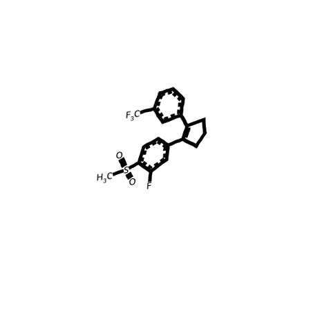 CS(=O)(=O)c1ccc(C2=C(c3cccc(C(F)(F)F)c3)CCC2)cc1F